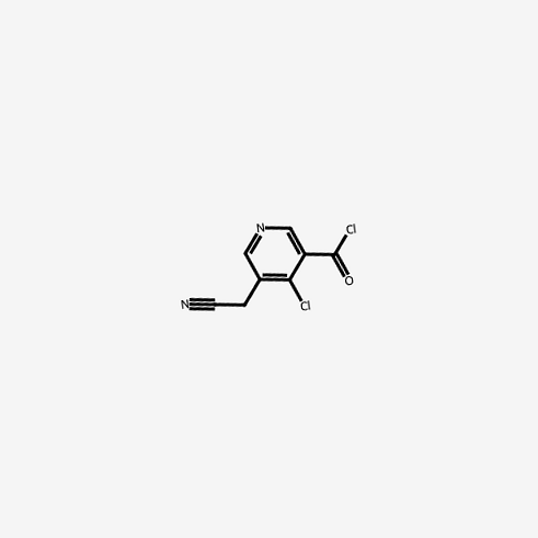 N#CCc1cncc(C(=O)Cl)c1Cl